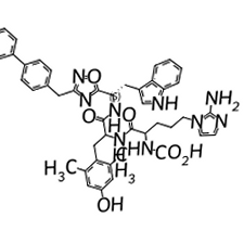 Cc1cc(O)cc(C)c1CC(NC(=O)C(CCCn1ccnc1N)NC(=O)O)C(=O)N[C@@H](Cc1c[nH]c2ccccc12)c1nc(Cc2ccc(-c3ccccc3)cc2)no1